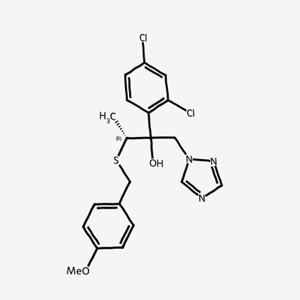 COc1ccc(CS[C@H](C)C(O)(Cn2cncn2)c2ccc(Cl)cc2Cl)cc1